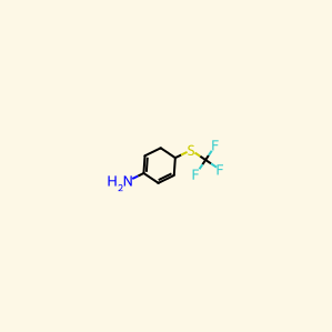 NC1=CCC(SC(F)(F)F)C=C1